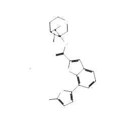 CC(=O)c1ccc(-c2cccc3cc(C(=O)N[C@H]4CN5CCC4CC5)sc23)s1.Cl